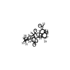 CCC(C)(C)C(=O)O[C@H]1C[C@@H](C(C)=O)C[C@@H]2CC[C@H](C)[C@H](CC[C@@H]3C[C@@H](O[Si](C)(C)C(C)(C)C)CC(=O)O3)[C@H]21